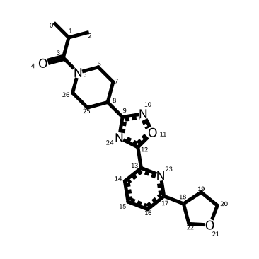 CC(C)C(=O)N1CCC(c2noc(-c3cccc(C4CCOC4)n3)n2)CC1